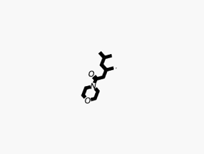 [CH2]C(CC(=O)N1CCOCC1)CC(C)C